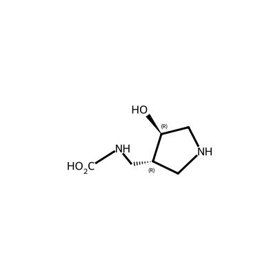 O=C(O)NC[C@H]1CNC[C@@H]1O